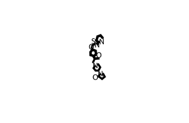 O=C1CCCN1C1CCN(Cc2coc3cc(Oc4nc5ncccc5s4)ccc23)CC1